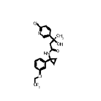 C[C@@](O)(CC(=O)NC1(c2cccc(OCC(F)(F)F)c2)CC1)c1ccc(Cl)nc1